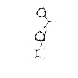 CC(C)C(=O)Nc1ccc2oc(C(C)c3ccccc3)nc2c1